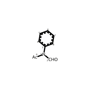 CC(=O)N(C=O)c1ccccc1